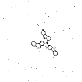 c1ccc2c(c1)ccc1cc(N(c3cc4oc5ccccc5c4cn3)c3cccc4c3oc3ccncc34)ccc12